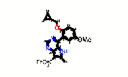 CCOC(=O)c1c(C)[nH]c2c(-c3cc(OC)ccc3OCC3CC3)ncnc12